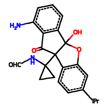 CC(C)c1ccc2c(c1)OC1(O)c3cccc(N)c3C(=O)C21C1(NC=O)CC1